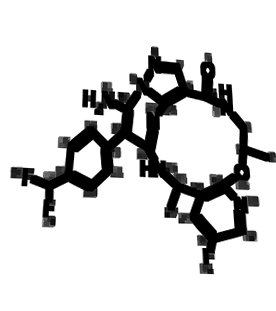 CC1CNC(=O)c2cnn3c(N)c(-c4ccc(C(F)F)cc4)c(nc23)NC(C)c2cc(F)cnc2O1